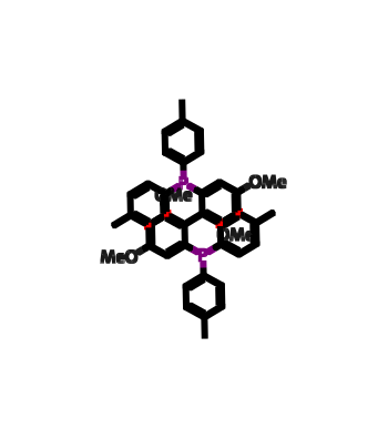 COc1cc(OC)c(-c2c(OC)cc(OC)cc2P(c2ccc(C)cc2)c2ccc(C)cc2)c(P(c2ccc(C)cc2)c2ccc(C)cc2)c1